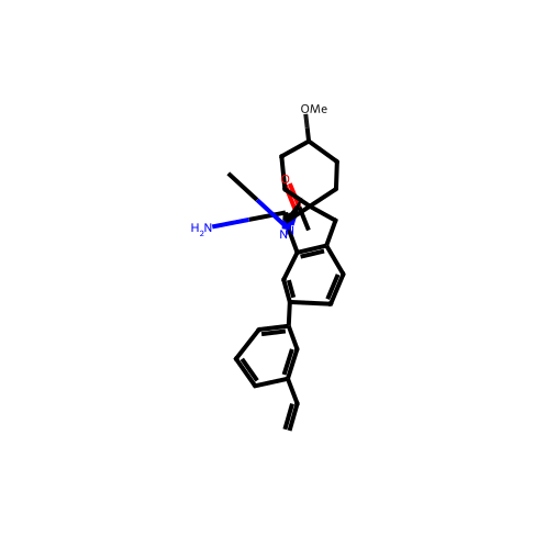 C=Cc1cccc(-c2ccc3c(c2)C2(N=C(N)N(C)C2=O)C2(CCC(OC)CC2)C3)c1